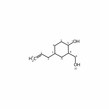 C=CCC1CCC(O)C(CO)C1